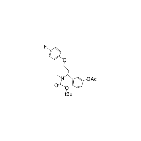 CC(=O)Oc1cccc(C(CCOc2ccc(F)cc2)N(C)C(=O)OC(C)(C)C)c1